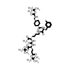 CC(=O)[C@H](CCCCNC(=O)[C@H](Cc1cccc(I)c1)NC(=O)[C@H]1CC[C@H](CNC(=O)OC(C)(C)C)CC1)NC(=O)N[C@@H](CCC(=O)OC(C)(C)C)C(=O)OC(C)(C)C